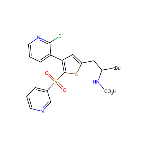 CC(C)(C)C(Cc1cc(-c2cccnc2Cl)c(S(=O)(=O)c2cccnc2)s1)NC(=O)O